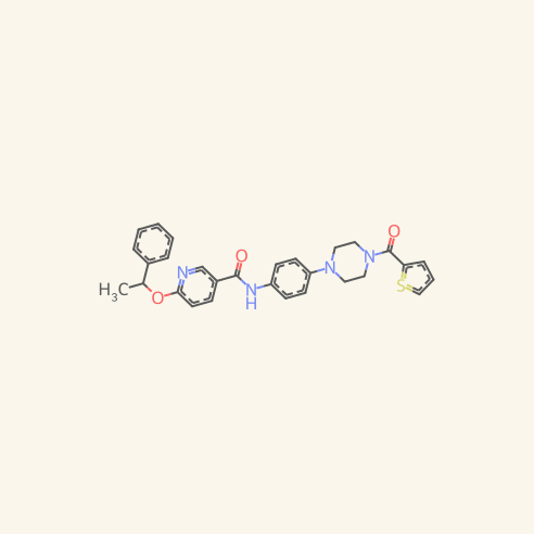 CC(Oc1ccc(C(=O)Nc2ccc(N3CCN(C(=O)c4cccs4)CC3)cc2)cn1)c1ccccc1